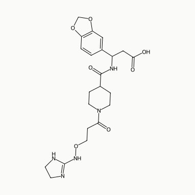 O=C(O)CC(NC(=O)C1CCN(C(=O)CCONC2=NCCN2)CC1)c1ccc2c(c1)OCO2